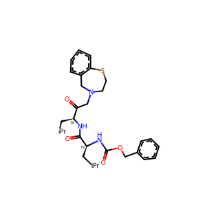 CC(C)C[C@H](NC(=O)[C@H](CC(C)C)NC(=O)OCc1ccccc1)C(=O)CN1CCSc2ccccc2C1